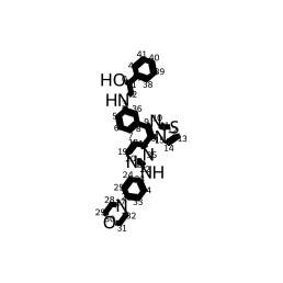 OC(CNc1cccc(-c2nc3sccn3c2-c2ccnc(Nc3ccc(N4CCOCC4)cc3)n2)c1)c1ccccc1